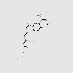 CCOC(=O)/C=C(C)/C=C/C=C(/C)c1cc2c(c(Cl)c1OC)OC(C)(C)C=C2C(C)C